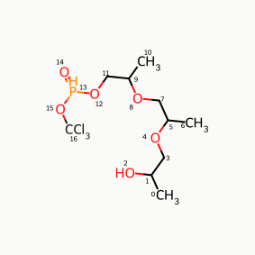 CC(O)COC(C)COC(C)CO[PH](=O)OC(Cl)(Cl)Cl